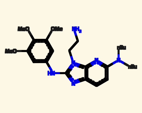 CCCCN(CCCC)c1ccc2nc(Nc3cc(OC)c(OC)c(OC)c3)n(CCN)c2n1